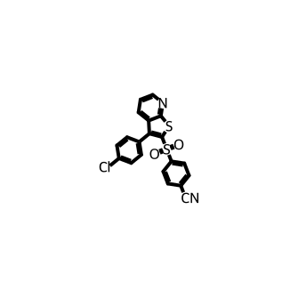 N#Cc1ccc(S(=O)(=O)c2sc3ncccc3c2-c2ccc(Cl)cc2)cc1